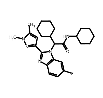 Cc1cc(-c2nc3ccc(F)cc3n2C(C(=O)NC2CCCCC2)C2CCCCC2)nn1C